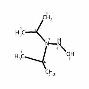 CC(C)N(NO)C(C)C